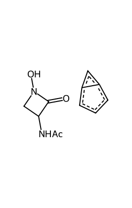 CC(=O)NC1CN(O)C1=O.c1cc2cc-2c1